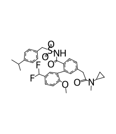 COc1ccc(C(F)F)cc1-c1cc(CC(=O)N(C)C2CC2)ccc1C(=O)NS(=O)(=O)Cc1ccc(C(C)C)cc1